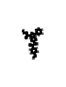 CCOC(=O)c1nn(-c2ccccn2)c2nc(NC(=O)c3ccc(OC)cc3)sc12